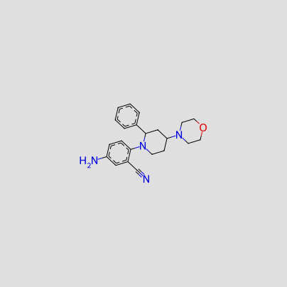 N#Cc1cc(N)ccc1N1CCC(N2CCOCC2)CC1c1ccccc1